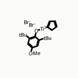 COc1cc(C(C)(C)C)c([O][Ti+2][C]2=CC=CC2)c(C(C)(C)C)c1.[Br-].[Br-]